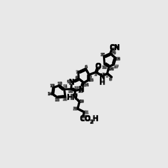 CC(NC(=O)c1ccc2nc(-c3ccccc3)c(NCCCC(=O)O)nc2c1)c1ccc(C#N)cc1